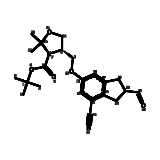 CC(C)(C)OC(=O)N1[C@@H](COc2cc(C#N)c3c(c2)CC(C=O)C3)COC1(C)C